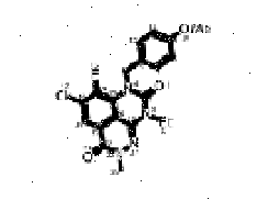 CCN1C(=O)N(Cc2ccc(OC)cc2)c2c(F)c(Cl)cc3c(=O)n(C)nc1c23